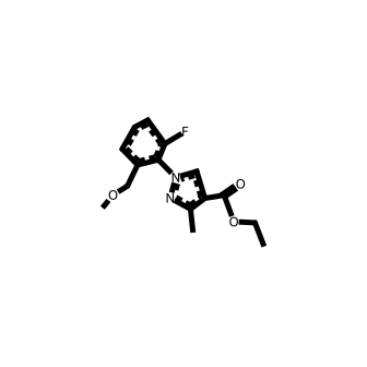 CCOC(=O)c1cn(-c2c(F)cccc2COC)nc1C